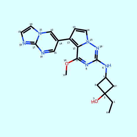 CCC1(O)CC(Nc2nc(OC)c3c(-c4cnc5nccn5c4)ccn3n2)C1